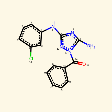 Nc1nc(Nc2cccc(Cl)c2)nn1C(=O)c1ccccc1